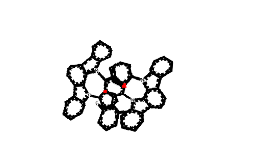 N#Cc1cc(-n2c3ccccc3c3ccc4c5ccccc5n(-c5ccccc5)c4c32)c(-c2c(F)cccc2F)cc1-n1c2ccccc2c2ccc3c4ccccc4n(-c4ccccc4)c3c21